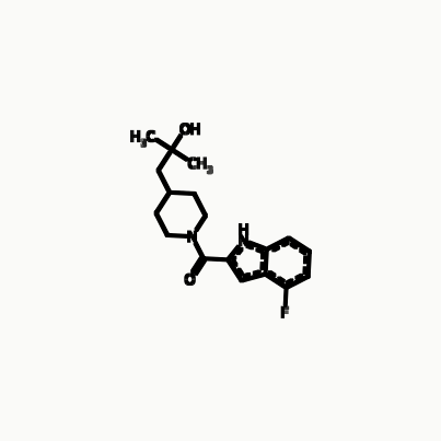 CC(C)(O)CC1CCN(C(=O)c2cc3c(F)cccc3[nH]2)CC1